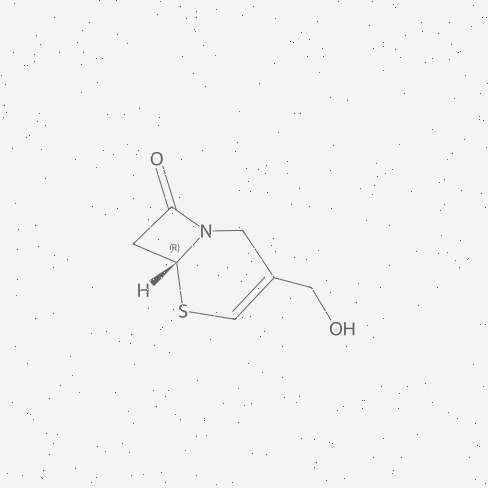 O=C1C[C@H]2SC=C(CO)CN12